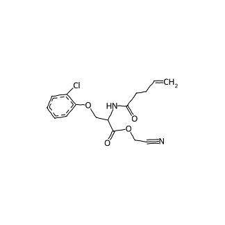 C=CCCC(=O)NC(COc1ccccc1Cl)C(=O)OCC#N